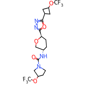 O=C(N[C@H]1CC[C@H](c2nnc(C3CC(OC(F)(F)F)C3)o2)OC1)N1CCC(OC(F)(F)F)C1